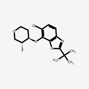 CC(C)(C)c1nc2ccc(Cl)c(S[C@@H]3CCOC[C@H]3F)c2o1